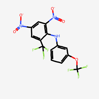 O=[N+]([O-])c1cc([N+](=O)[O-])c(Nc2cccc(OC(F)(F)F)c2)c(C(F)(F)F)c1